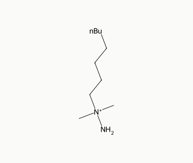 CCCCCCCC[N+](C)(C)N